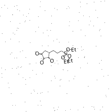 CCO[Si](CCCC1CC(=O)C(=O)C1=O)(OCC)OCC